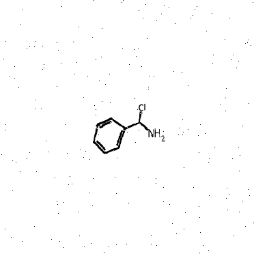 NC(Cl)c1ccccc1